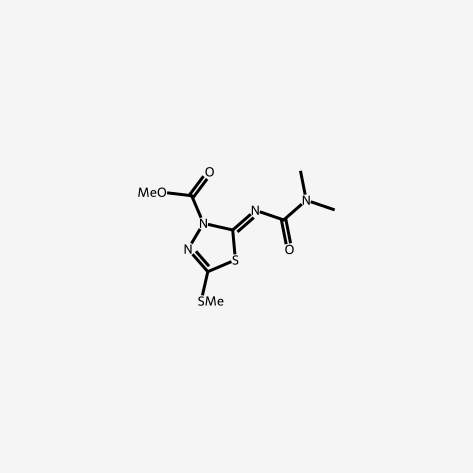 COC(=O)n1nc(SC)sc1=NC(=O)N(C)C